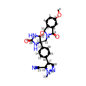 COc1ccc2c(c1)C(=O)N(C[C@@]1(c3ccc(-c4cnn(C)c4C#N)cc3)NC(=O)NC1=O)C2